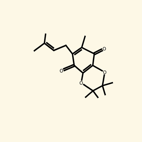 CC(C)=CCC1=C(C)C(=O)C2=C(OC(C)(C)C(C)(C)O2)C1=O